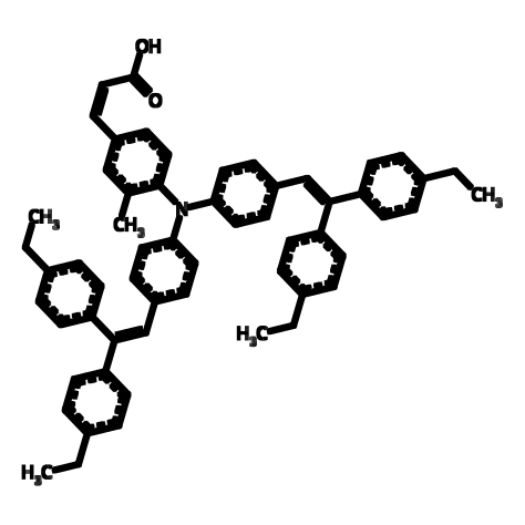 CCc1ccc(C(=Cc2ccc(N(c3ccc(C=C(c4ccc(CC)cc4)c4ccc(CC)cc4)cc3)c3ccc(/C=C\C(=O)O)cc3C)cc2)c2ccc(CC)cc2)cc1